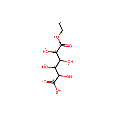 CCOC(=O)C(O)C(O)C(O)C(O)C(=O)O